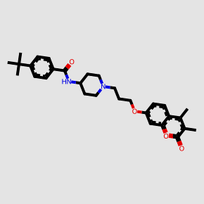 Cc1c(C)c2ccc(OCCCN3CCC(NC(=O)c4ccc(C(C)(C)C)cc4)CC3)cc2oc1=O